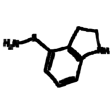 NSc1cccc2c1CCN2